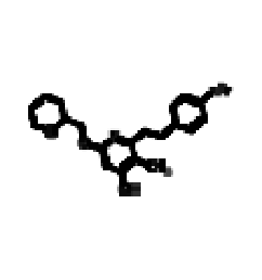 CCCc1ccc(CCc2nc(OCC3CCCCO3)cc(O)c2C)cc1